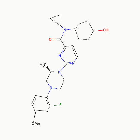 COc1ccc(N2CCN(c3nccc(C(=O)N(C4CCC(O)CC4)C4CC4)n3)[C@H](C)C2)c(F)c1